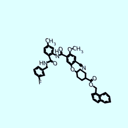 COc1cc(C#N)c(OC2CCC(C(=O)OCc3cccc4ccccc34)CC2)cc1C(=O)Nc1cc(C)ccc1C(=O)NCc1cccc(F)c1